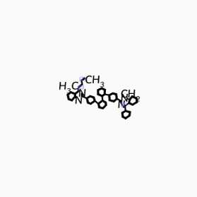 C=Nc1ccccc1/C(=N\Cc1ccc(-c2ccccc2-c2ccccc2-c2ccc(-c3nc(/C(C)=C/C=C\C)c4ccccc4n3)cc2)cc1)c1ccccc1